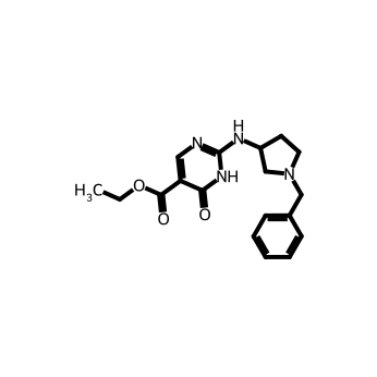 CCOC(=O)c1cnc(NC2CCN(Cc3ccccc3)C2)[nH]c1=O